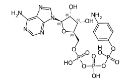 Nc1ccc(OP(=O)(O)OP(=O)(O)OP(=O)(O)OC[C@H]2O[C@@H](n3cnc4c(N)ncnc43)[C@H](O)[C@@H]2O)cc1